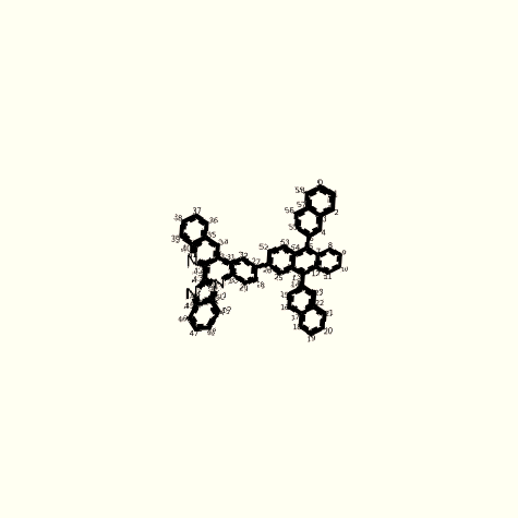 c1ccc2cc(-c3c4ccccc4c(-c4ccc5ccccc5c4)c4cc(-c5ccc6c(c5)c5cc7ccccc7nc5c5nc7ccccc7n65)ccc34)ccc2c1